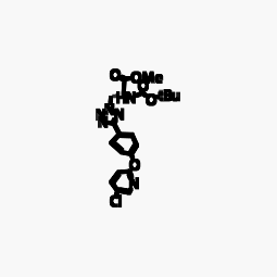 COC(=O)[C@@H](Cn1nnc(-c2ccc(Oc3ccc(Cl)cn3)cc2)n1)NC(=O)OC(C)(C)C